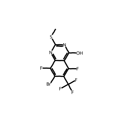 CSc1nc(O)c2c(F)c(C(F)(F)F)c(Br)c(F)c2n1